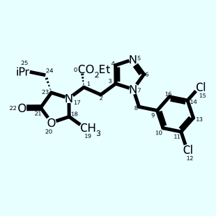 CCOC(=O)[C@H](Cc1cncn1Cc1cc(Cl)cc(Cl)c1)N1C(C)OC(=O)[C@@H]1CC(C)C